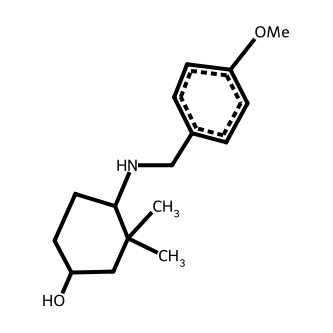 COc1ccc(CNC2CCC(O)CC2(C)C)cc1